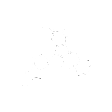 CCOC(=O)c1cc2cc(-c3c(C(=O)OCC)n(Cc4ccccc4)c4ccc([N+](=O)[O-])cc34)ccc2[nH]1